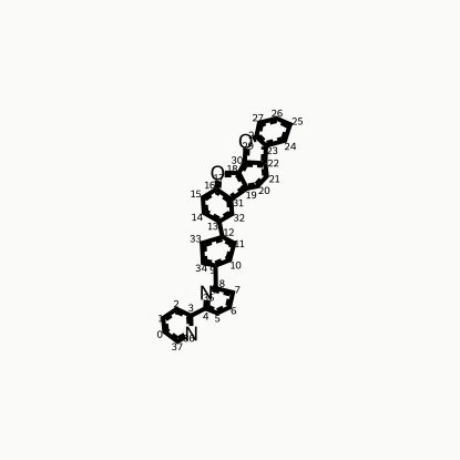 c1ccc(-c2cccc(-c3ccc(-c4ccc5oc6c(ccc7c8ccccc8oc76)c5c4)cc3)n2)nc1